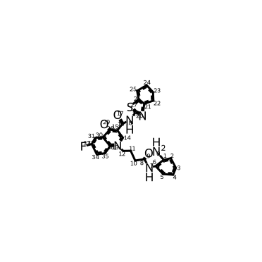 Nc1ccccc1NC(=O)CCCn1cc(C(=O)Nc2nc3ccccc3s2)c(=O)c2cc(F)ccc21